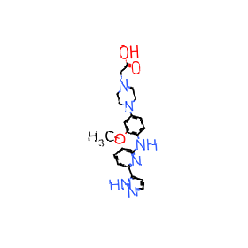 COc1cc(N2CCN(CC(=O)O)CC2)ccc1Nc1cccc(-c2ccn[nH]2)n1